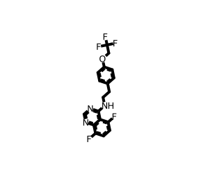 Fc1ccc(F)c2c(NCCc3ccc(OCC(F)(F)F)cc3)ncnc12